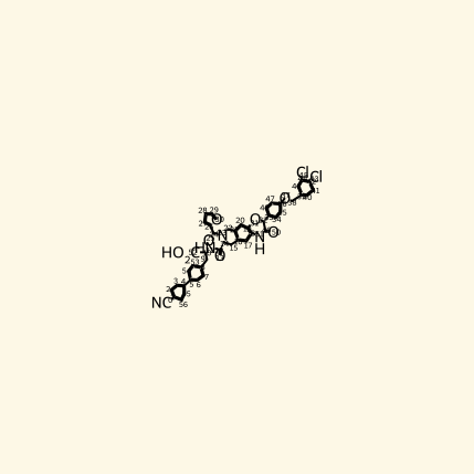 N#Cc1ccc(-c2ccc(CC(NC(=O)[C@@H]3Cc4cc5c(cc4CN3C(=O)c3ccco3)O[C@@H](c3ccc(OCc4ccc(Cl)c(Cl)c4)cc3)C(=O)N5)C(=O)O)cc2)cc1